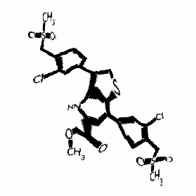 COC(=O)c1[nH]c2c(-c3ccc(CS(C)(=O)=O)c(Cl)c3)csc2c1-c1ccc(CS(C)(=O)=O)c(Cl)c1